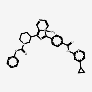 N[N+]12C=CN=CC1=C(C1CCCN(C(=O)Oc3ccccc3)C1)N=C2c1ccc(C(=O)Nc2cc(C3CC3)ccn2)cc1